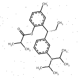 CC[C@H](c1cccc(N(C(C)C)C(C)C)c1)c1cc(C)ccc1OC(=O)C(C)C